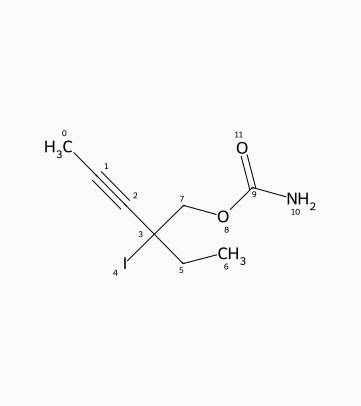 CC#CC(I)(CC)COC(N)=O